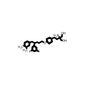 Cc1ccc(CC(CCCOc2ccc(CCC(N)(CO)CO)cc2)c2cc(F)cc(F)c2)cc1C